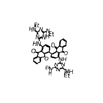 CCNc1nc(NCC)nc(Nc2ccc(-c3ccc(Nc4nc(NCC)nc(NCC)n4)c4c3C(=O)c3ccccc3C4=O)c3c2C(=O)c2ccccc2C3=O)n1